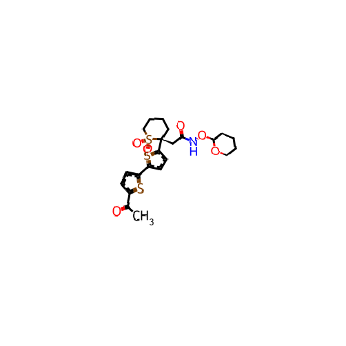 CC(=O)c1ccc(-c2ccc([C@@]3(CC(=O)NOC4CCCCO4)CCCCS3(=O)=O)s2)s1